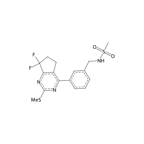 CSc1nc(-c2cccc(CNS(C)(=O)=O)c2)c2c(n1)C(F)(F)CC2